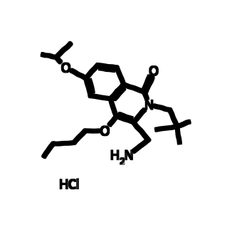 CCCCOc1c(CN)n(CC(C)(C)C)c(=O)c2ccc(OC(C)C)cc12.Cl